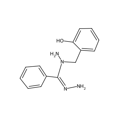 N/N=C(/c1ccccc1)N(N)Cc1ccccc1O